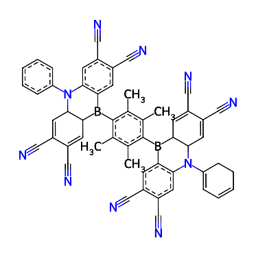 Cc1c(C)c(B2c3cc(C#N)c(C#N)cc3N(c3ccccc3)C3C=C(C#N)C(C#N)=CC23)c(C)c(C)c1B1c2cc(C#N)c(C#N)cc2N(C2=CC=CCC2)C2C=C(C#N)C(C#N)=CC12